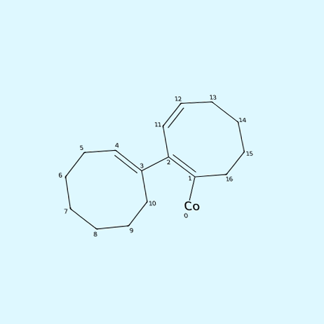 [Co][C]1=C(C2=CCCCCCC2)C=CCCCC1